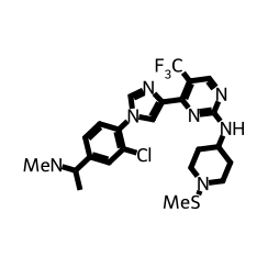 CNC(C)c1ccc(-n2cnc(-c3nc(NC4CCN(SC)CC4)ncc3C(F)(F)F)c2)c(Cl)c1